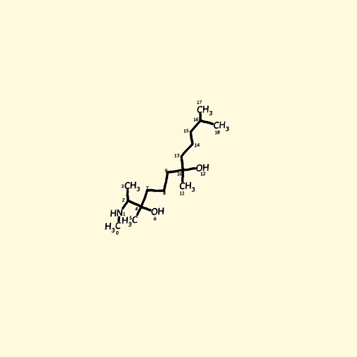 CNC(C)C(C)(O)CCCC(C)(O)CCCC(C)C